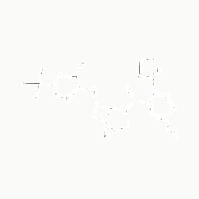 Cc1cnc(-n2nccn2)c(C(=O)N2CC3CC34CC(Oc3ncc(C(F)(F)F)cc3F)C24)c1